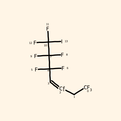 FC(F)(F)[CH2][Cf]=[CH]C(F)(F)C(F)(F)C(F)(F)I